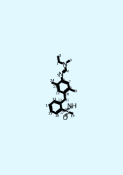 CCN(C)C=Nc1cc(C)c(Cc2ccccc2S(C)(=N)=O)cc1C